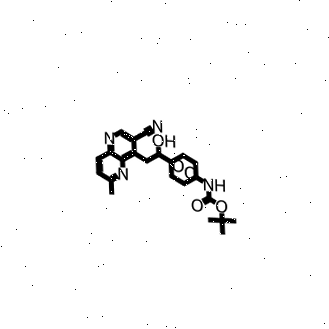 Cc1ccc2ncc(C#N)c(CC(O)C34CCC(NC(=O)OC(C)(C)C)(CC3)CO4)c2n1